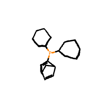 C1=CC2CC1C=C2P(C1CCCCC1)C1CCCCC1